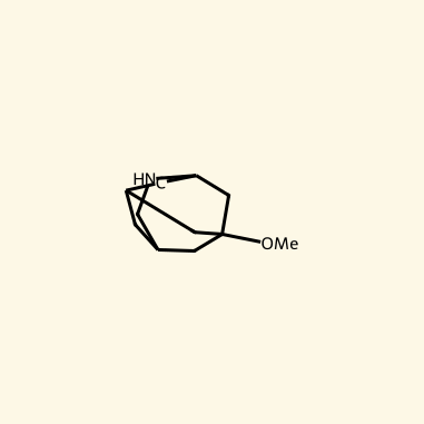 COC12CC3CNC(CC(C3)C1)C2